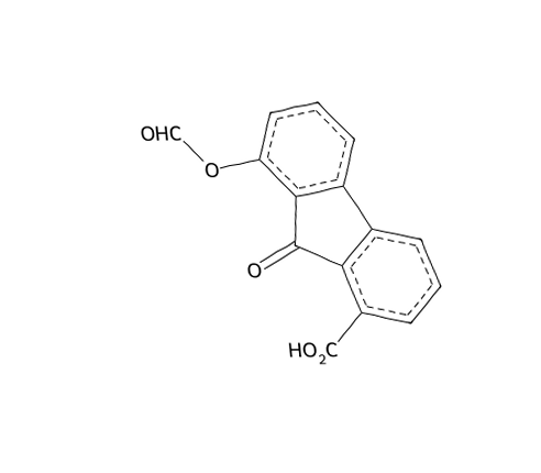 O=COc1cccc2c1C(=O)c1c(C(=O)O)cccc1-2